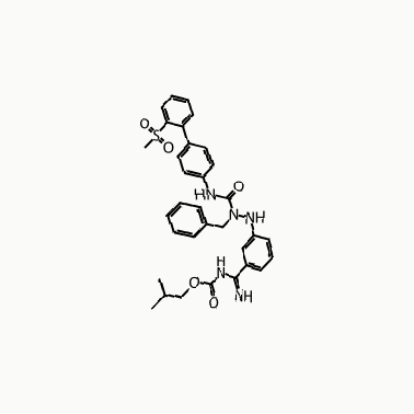 CC(C)COC(=O)NC(=N)c1cccc(NN(Cc2ccccc2)C(=O)Nc2ccc(-c3ccccc3S(C)(=O)=O)cc2)c1